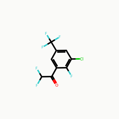 O=C(c1cc(C(F)(F)F)cc(Cl)c1F)C(F)F